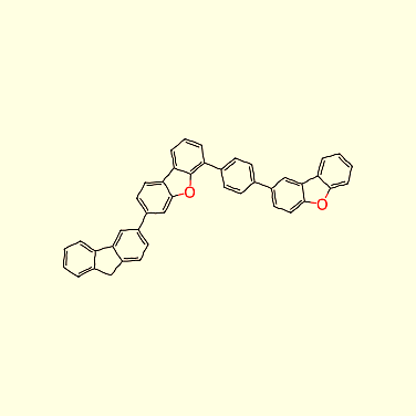 c1ccc2c(c1)Cc1ccc(-c3ccc4c(c3)oc3c(-c5ccc(-c6ccc7oc8ccccc8c7c6)cc5)cccc34)cc1-2